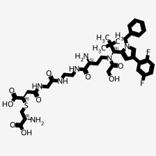 CC(C)(C)[C@H](c1cc(-c2cc(F)ccc2F)cn1Cc1ccccc1)N(CC[C@H](N)C(=O)NCCNC(=O)CNC(=O)C[C@@H](SC[C@H](N)C(=O)O)C(=O)O)C(=O)CO